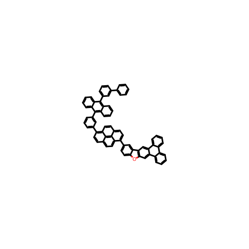 c1ccc(-c2cccc(-c3c4ccccc4c(-c4cccc(-c5ccc6ccc7c(-c8ccc9oc%10cc%11c%12ccccc%12c%12ccccc%12c%11cc%10c9c8)ccc8ccc5c6c87)c4)c4ccccc34)c2)cc1